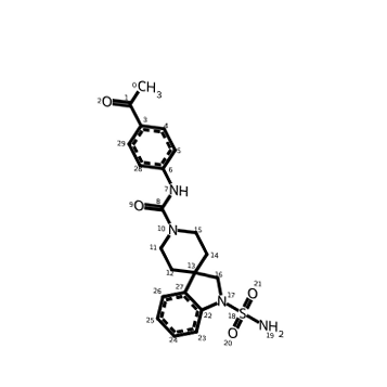 CC(=O)c1ccc(NC(=O)N2CCC3(CC2)CN(S(N)(=O)=O)c2ccccc23)cc1